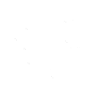 O=C1CCC(N2Cc3cc(-c4cc(CN5CCN(c6cnccn6)CC5)ccn4)ccc3C2=O)C(=O)N1